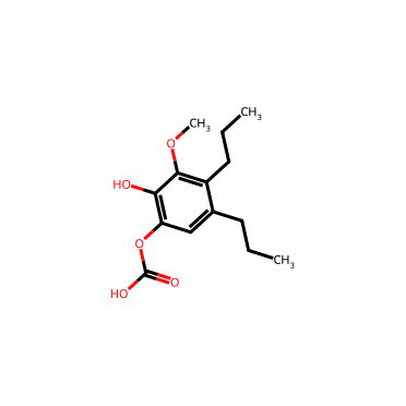 CCCc1cc(OC(=O)O)c(O)c(OC)c1CCC